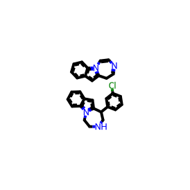 C1=Cn2c(cc3ccccc32)CC=N1.Clc1cccc(C2CNCCn3c2cc2ccccc23)c1